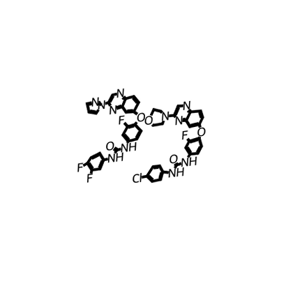 O=C(Nc1ccc(Cl)cc1)Nc1ccc(Oc2ccc3ncc(N4CCOCC4)nc3c2)c(F)c1.O=C(Nc1ccc(F)c(F)c1)Nc1ccc(Oc2ccc3ncc(-n4cccn4)nc3c2)c(F)c1